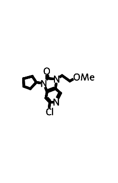 COCCn1c(=O)n(C2CCCC2)c2cc(Cl)ncc21